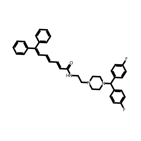 O=C(C=CC=CC=C(c1ccccc1)c1ccccc1)NCCN1CCN(C(c2ccc(F)cc2)c2ccc(F)cc2)CC1